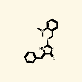 CN(C)c1ccccc1CSC1=NC(=O)/C(=C/c2ccccc2)N1